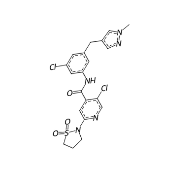 Cn1cc(Cc2cc(Cl)cc(NC(=O)c3cc(N4CCCS4(=O)=O)ncc3Cl)c2)cn1